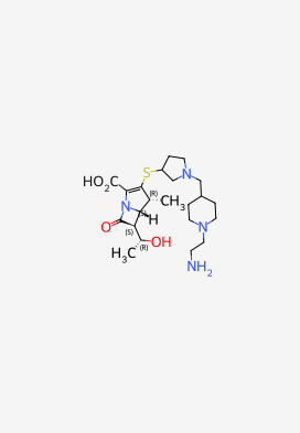 C[C@@H](O)[C@H]1C(=O)N2C(C(=O)O)=C(SC3CCN(CC4CCN(CCN)CC4)C3)[C@H](C)[C@H]12